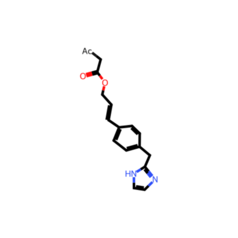 CC(=O)CC(=O)OCC=Cc1ccc(Cc2ncc[nH]2)cc1